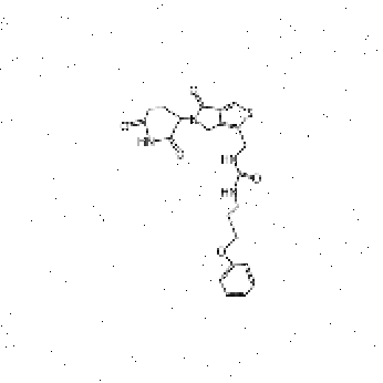 O=C1CCC(N2Cc3c(csc3CNC(=O)NCCCOc3ccccc3)C2=O)C(=O)N1